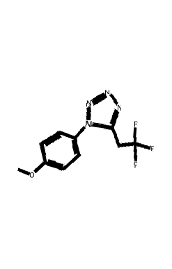 COc1ccc(-n2nnnc2CC(F)(F)F)cc1